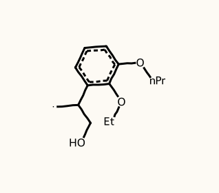 [CH2]C(CO)c1cccc(OCCC)c1OCC